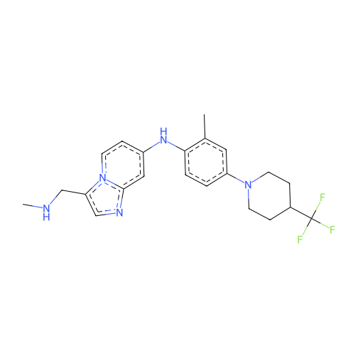 CNCc1cnc2cc(Nc3ccc(N4CCC(C(F)(F)F)CC4)cc3C)ccn12